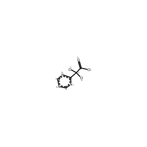 O=C(Cl)C(Cl)(Cl)c1ncncn1